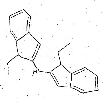 CCC1[C]([Hf][C]2=Cc3ccccc3C2CC)=Cc2ccccc21